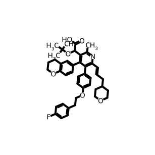 Cc1nc(C=CCC2CCOCC2)c(-c2ccc(OCCc3ccc(F)cc3)cc2)c(-c2ccc3c(c2)CCCO3)c1C(OC(C)(C)C)C(=O)O